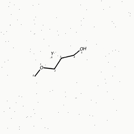 COCCCO.[Y]